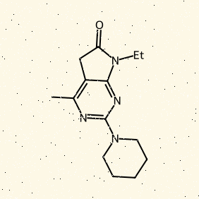 CCN1C(=O)Cc2c(C)nc(N3CCCCC3)nc21